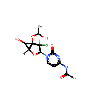 CC(C)C(=O)Nc1ccn([C@H]2O[C@@H]3C(O)[C@]3(OC(O)C(C)C)[C@]2(F)Cl)c(=O)n1